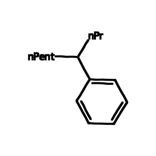 [CH2]CCC(CCCCC)c1ccccc1